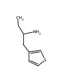 CCC(N)Cc1ccsc1